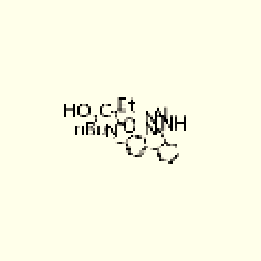 CCCCN(Cc1ccc(-c2ccccc2-c2nnn[nH]2)cc1)C(=O)C(CC)C(=O)O